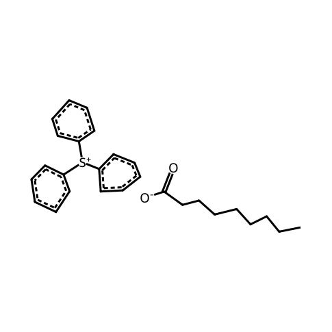 CCCCCCCCC(=O)[O-].c1ccc([S+](c2ccccc2)c2ccccc2)cc1